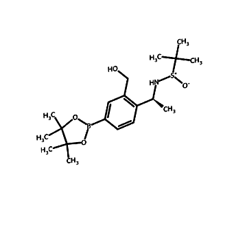 C[C@H](N[S+]([O-])C(C)(C)C)c1ccc(B2OC(C)(C)C(C)(C)O2)cc1CO